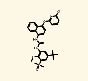 COc1c(NC(=O)Nc2ccc(Oc3ccnc(Cl)n3)c3ccccc23)cc(C(C)(C)C)cc1P(C)(C)=O